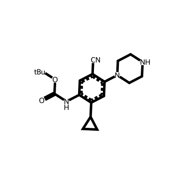 CC(C)(C)OC(=O)Nc1cc(C#N)c(N2CCNCC2)cc1C1CC1